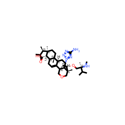 CN[C@](C)(CO[C@H]1[C@H](n2nnc(N)n2)C[C@@]23COC[C@]1(C)[C@@H]2CC[C@H]1C3=CC[C@@]2(C)[C@H](C(=O)O)[C@@](C)([C@H](C)C(C)C)CC[C@]12C)C(C)C